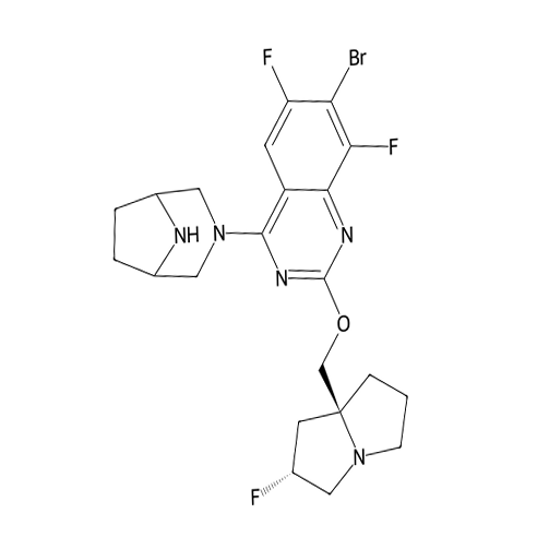 Fc1cc2c(N3CC4CCC(C3)N4)nc(OC[C@@]34CCCN3C[C@H](F)C4)nc2c(F)c1Br